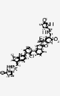 COc1nc(O[C@H]2CCc3c(-c4nccc(-c5ccc6c(CNC[C@@H]7CCC(=O)N7)cn(C)c6n5)c4Cl)cccc32)c(C(F)(F)F)cc1CNC[C@H]1CCC(=O)N1